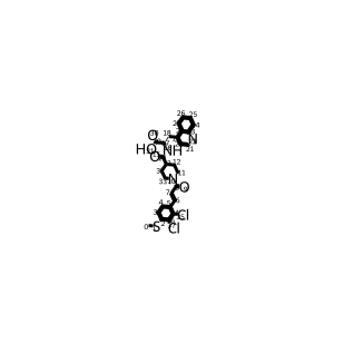 CSc1ccc(/C=C/C(=O)N2CCC(C(=O)N[C@@H](Cc3ccnc4ccccc34)C(=O)O)CC2)c(Cl)c1Cl